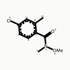 CON(C)C(=O)c1ccc(Cl)cc1C